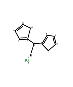 Cl.[Ti][CH](C1=CC=CC1)C1=CC=CC1